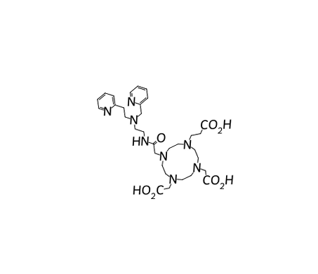 O=C(O)CCN1CCN(CC(=O)O)CCN(CC(=O)O)CCN(CC(=O)NCCN(CCc2ccccn2)Cc2ccccn2)CC1